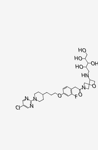 O=C(Cc1ccc(OCCCC2CCN(c3ncc(Cl)cn3)CC2)cc1F)N1CC2(C1)OCC2NCC(O)C(O)C(O)CO